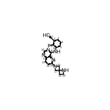 C#Cc1cccc(Nc2ncnc3ccc(N4CC5(CCN5)C4)nc23)c1F